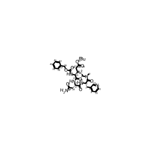 CC(=O)CN(C)C(=O)[C@H](Cc1cccnc1)NC(=O)[C@H](CC(N)=O)NC(=O)[C@H](CCC(=O)OC(C)(C)C)NC(=O)OCc1ccccc1